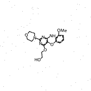 COc1cccc(Oc2c(N)nc(N3CCOCC3)nc2OCCO)c1